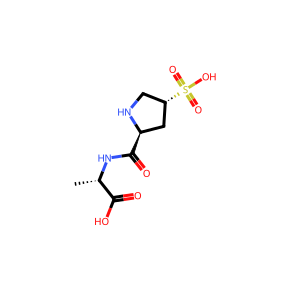 C[C@H](NC(=O)[C@@H]1C[C@@H](S(=O)(=O)O)CN1)C(=O)O